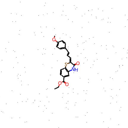 CCOC(=O)c1ccc2c(c1)NC(=O)C(=CC=Cc1ccc(OC)cc1)S2